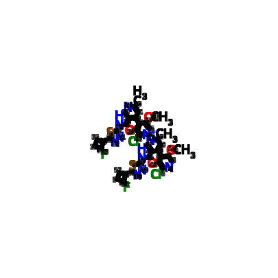 COc1cnc(Cl)cc1-c1cc(C)[n+](-[n+]2cc(OC)c(-c3cc(C)ncc3C(=O)Nc3nnc([C@@H]4CC[C@@H]4F)s3)cc2Cl)cc1C(=O)Nc1nnc([C@H]2CC[C@@H]2F)s1